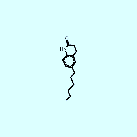 [CH2]CCCCCc1ccc2c(c1)CCC(=O)N2